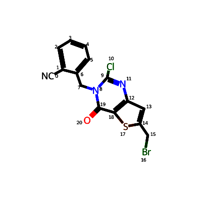 N#Cc1ccccc1Cn1c(Cl)nc2cc(CBr)sc2c1=O